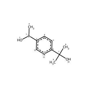 CB(O)c1ccc(C(C)(C)O)nc1